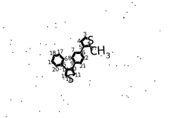 Cc1sccc1-c1ccc(-c2cscc2-c2ccccc2)cc1